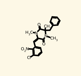 CN1C(=O)C(C)(Cc2ccccc2)N(C)C(=O)/C1=C\c1cccc(Cl)c1[N+](=O)[O-]